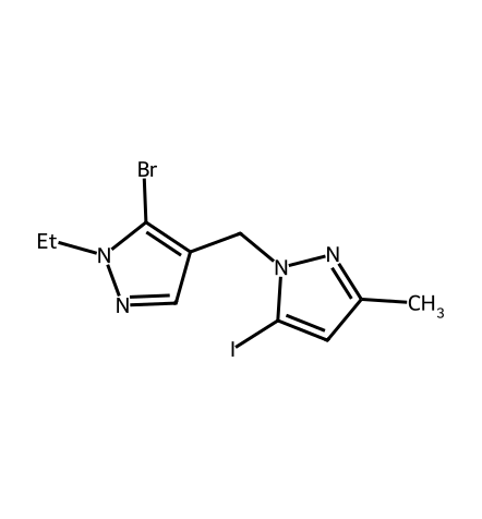 CCn1ncc(Cn2nc(C)cc2I)c1Br